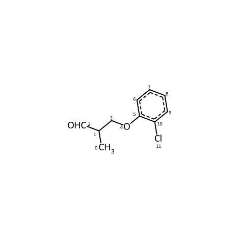 CC(C=O)COc1ccccc1Cl